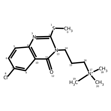 CSc1nc2ccc(Cl)cc2c(=O)n1CCC[N+](C)(C)C